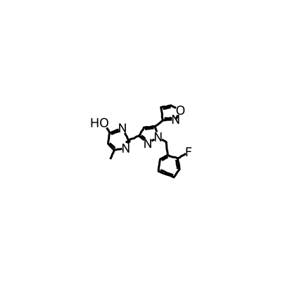 Cc1cc(O)nc(-c2cc(-c3ccon3)n(Cc3ccccc3F)n2)n1